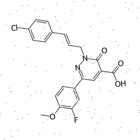 COc1ccc(-c2cc(C(=O)O)c(=O)n(C/C=C/c3ccc(Cl)cc3)n2)cc1F